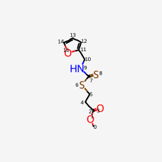 COC(=O)CCSC(=S)NCc1ccco1